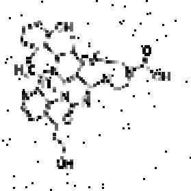 CC(C)c1nccc(CCCO)c1-n1c(=O)nc(N2CCN(C(=O)O)CC2C)c2cc(F)c(-c3c(O)cccc3F)nc21